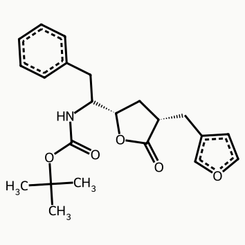 CC(C)(C)OC(=O)NC(Cc1ccccc1)[C@@H]1C[C@H](Cc2ccoc2)C(=O)O1